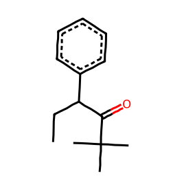 CCC(C(=O)C(C)(C)C)c1ccccc1